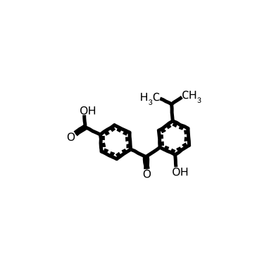 CC(C)c1ccc(O)c(C(=O)c2ccc(C(=O)O)cc2)c1